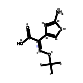 CC(C)(C)O/N=C(/C(=O)O)c1csc(N)n1